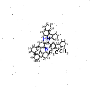 CC1(C)c2ccccc2-c2c1cc1c(c2-c2cccc3c2[nH]c2ccc4ccccc4c23)Bc2cccc3c2N1c1ccccc1C3(c1ccccc1)c1ccccc1